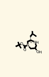 CC(C)C[C@H]1CN(C(=O)OC(C)(C)C)CC(O)CN1